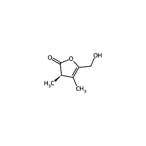 CC1=C(CO)OC(=O)[C@@H]1C